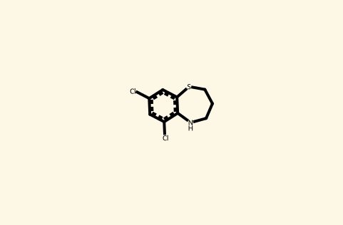 Clc1cc(Cl)c2c(c1)SCCCN2